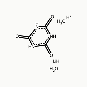 O.O.O=c1[nH]c(=O)[nH]c(=O)[nH]1.[H+].[LiH]